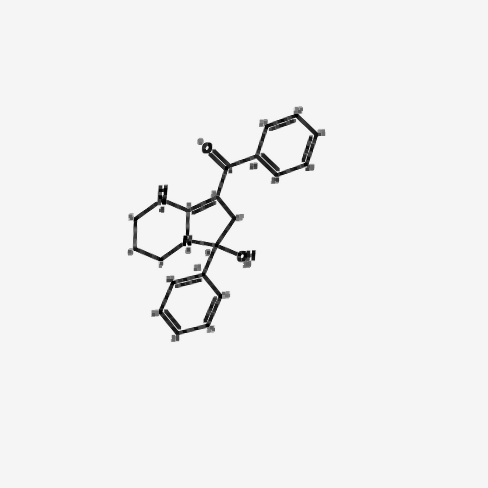 O=C(C1=C2NCCCN2C(O)(c2ccccc2)C1)c1ccccc1